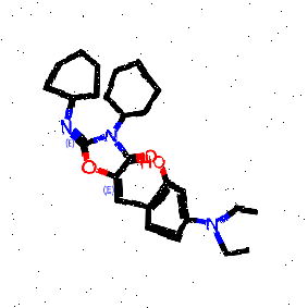 CCN(CC)c1ccc(/C=C2/O/C(=N/C3CCCCC3)N(C3CCCCC3)C2=O)c(O)c1